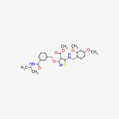 COC(=O)c1c(OCc2cccc(C(=O)NC(C)C)c2)nsc1NCc1ccc(OC)cc1OC